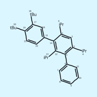 CC(C)c1cc(C(C)C)c(-c2ccccc2)c(C(C)C)c1-c1[c]c(C(C)(C)C)c(C(C)(C)C)cc1